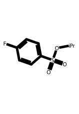 CC(C)OS(=O)(=O)c1ccc(F)cc1